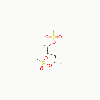 C[C@@H](CC[C@H](C)OS(C)(=O)=O)OS(C)(=O)=O